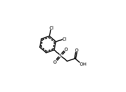 O=C(O)CS(=O)(=O)c1cccc(Cl)c1Cl